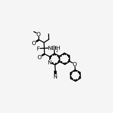 CCC(C(=O)OC)C(N)(F)C(=O)c1nc(C#N)c2cc(Oc3ccccc3)ccc2c1O